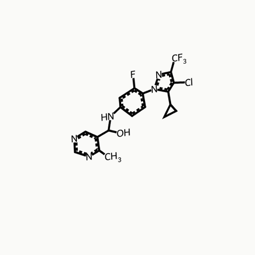 Cc1ncncc1C(O)Nc1ccc(-n2nc(C(F)(F)F)c(Cl)c2C2CC2)c(F)c1